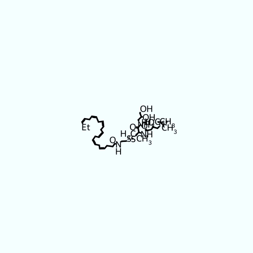 CC/C=C\C/C=C\C/C=C\C/C=C\C/C=C\C/C=C\CCC(=O)NCCSSC(C)(C)C(NC(=O)CC(O)C[N+](C)(C)C)C(=O)NCC(O)CO